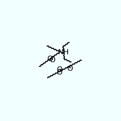 CCCCC/C=C\CCCC(CCC/C=C\CCCCC)CNC(CCCCC=CC(=O)OCCCCCCCCCC)CCCCCCCCCC.CCCCCCCCCCOC(=O)CCCCCCC(=O)CCCCCCCCCC